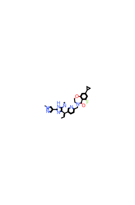 C=Nc1[nH]c(-c2cnn(C)c2)nc1/C(=C\C)c1ccc(CN2CCOc3cc(C4CC4)cc(F)c3C2=O)nc1